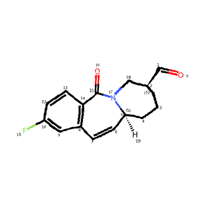 O=C[C@H]1CC[C@H]2C=Cc3cc(F)ccc3C(=O)N2C1